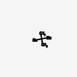 [CH2]CC(C)C(C)(C)C(C)CC